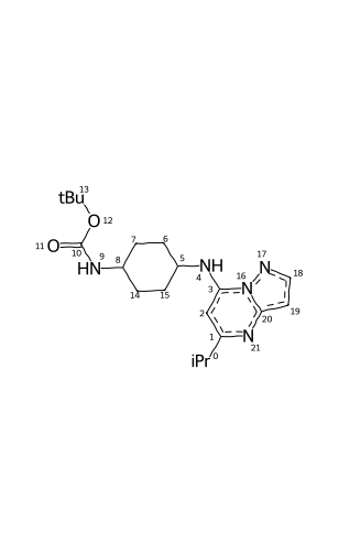 CC(C)c1cc(NC2CCC(NC(=O)OC(C)(C)C)CC2)n2nccc2n1